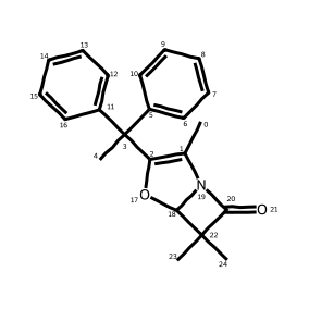 CC1=C(C(C)(c2ccccc2)c2ccccc2)OC2N1C(=O)C2(C)C